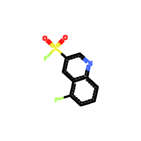 O=S(=O)(F)c1cnc2cccc(F)c2c1